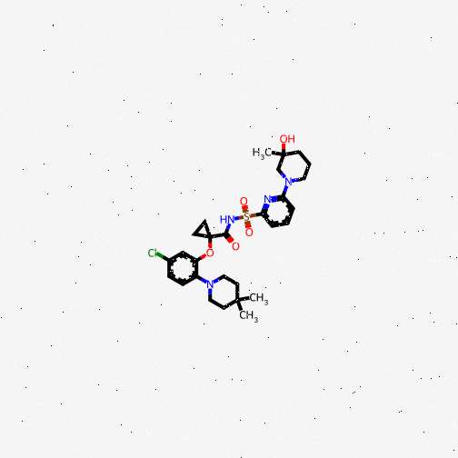 CC1(C)CCN(c2ccc(Cl)cc2OC2(C(=O)NS(=O)(=O)c3cccc(N4CCCC(C)(O)C4)n3)CC2)CC1